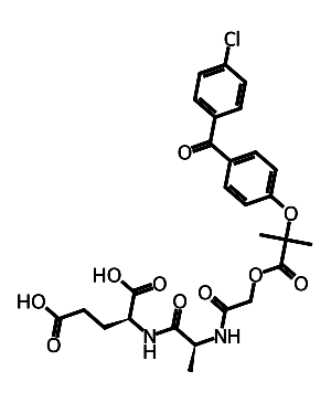 C[C@H](NC(=O)COC(=O)C(C)(C)Oc1ccc(C(=O)c2ccc(Cl)cc2)cc1)C(=O)N[C@@H](CCC(=O)O)C(=O)O